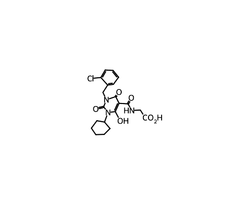 O=C(O)CNC(=O)c1c(O)n(C2CCCCC2)c(=O)n(Cc2ccccc2Cl)c1=O